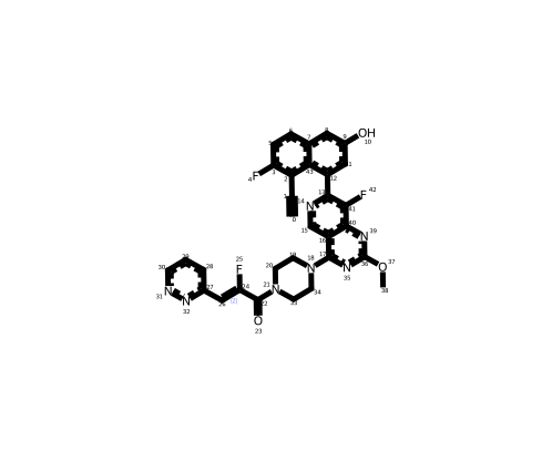 C#Cc1c(F)ccc2cc(O)cc(-c3ncc4c(N5CCN(C(=O)/C(F)=C/c6cccnn6)CC5)nc(OC)nc4c3F)c12